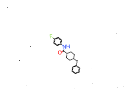 O=C(Nc1ccc(F)cc1)C1CCC(Cc2ccccc2)CC1